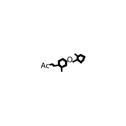 CC(=O)C=Cc1ccc(OCc2ccccc2C)cc1C